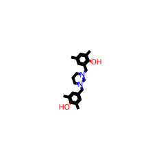 Cc1cc(C)c(O)c(CN2CCCN(Cc3cc(C)c(O)c(C)c3)C2)c1